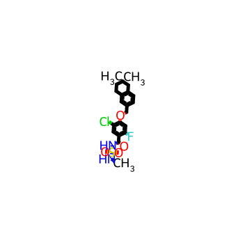 CNS(=O)(=O)NC(=O)c1cc(Cl)c(OCc2ccc3c(c2)CCC(C)(C)C3)cc1F